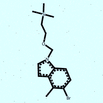 Cc1c(Br)ccc2c1ccn2COCC[Si](C)(C)C